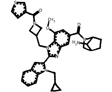 COc1cc(C(=O)N2CC3CCC2C3N)cc2nc(-c3cc4ccccc4n3CC3CC3)n(CC3CN(C(=O)c4ccsc4)C3)c12